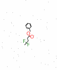 CC(F)(F)CCC(=O)OCc1ccccc1